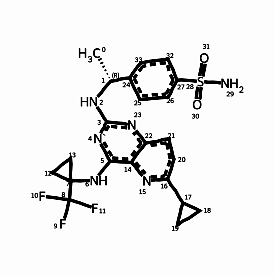 C[C@@H](Nc1nc(NC2(C(F)(F)F)CC2)c2nc(C3CC3)ccc2n1)c1ccc(S(N)(=O)=O)cc1